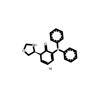 I.O=C1C(P(c2ccccc2)c2ccccc2)=CC=CC1[C@H]1COCN1